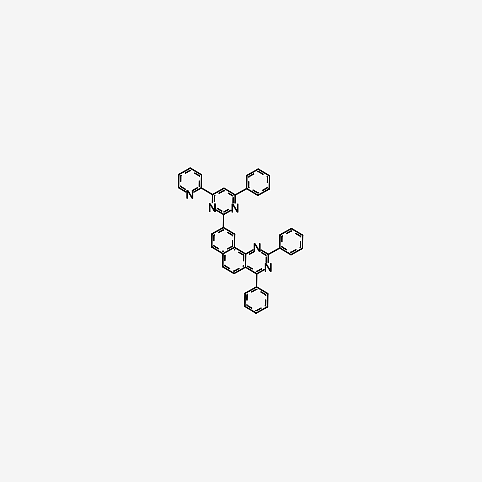 c1ccc(-c2cc(-c3ccccn3)nc(-c3ccc4ccc5c(-c6ccccc6)nc(-c6ccccc6)nc5c4c3)n2)cc1